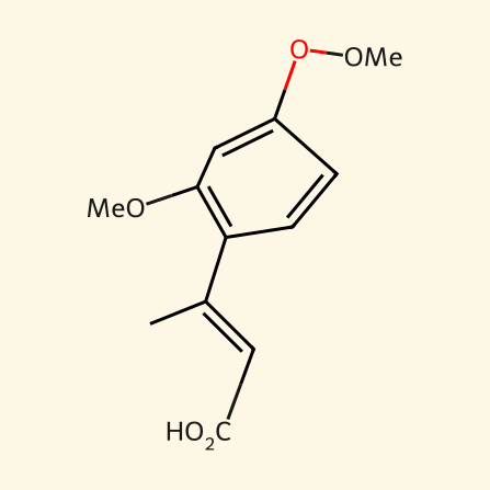 COOc1ccc(C(C)=CC(=O)O)c(OC)c1